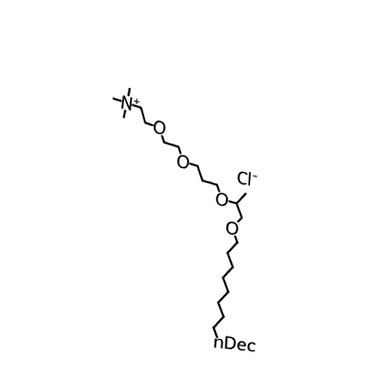 CCCCCCCCCCCCCCCCCCOCC(C)OCCCOCCOCC[N+](C)(C)C.[Cl-]